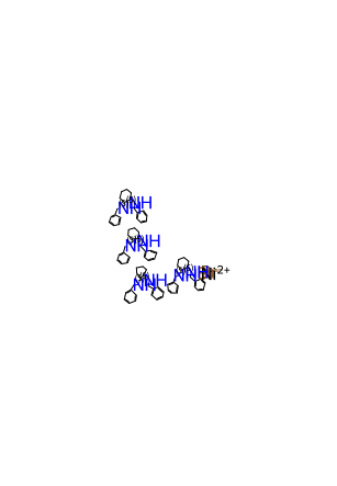 [Br-].[Br-].[Ni+2].c1ccc(CN[C@H]2CCCC[C@@H]2NCc2ccccc2)cc1.c1ccc(CN[C@H]2CCCC[C@@H]2NCc2ccccc2)cc1.c1ccc(CN[C@H]2CCCC[C@@H]2NCc2ccccc2)cc1.c1ccc(CN[C@H]2CCCC[C@@H]2NCc2ccccc2)cc1